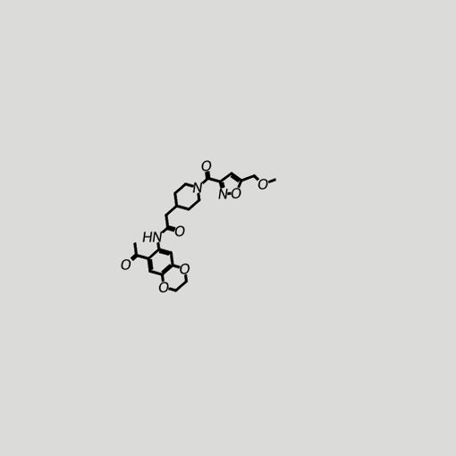 COCc1cc(C(=O)N2CCC(CC(=O)Nc3cc4c(cc3C(C)=O)OCCO4)CC2)no1